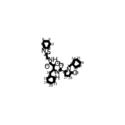 O=C(NCc1nc2ccccc2s1)C(=O)C(Cc1ccccc1)NC(=O)[C@@H]1CCC(=O)N1Cc1ccccc1